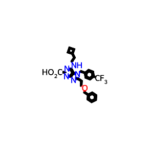 O=C(O)c1nc(NCCC2CCC2)c2c(n1)nc(CCOCc1ccccc1)n2Cc1ccc(C(F)(F)F)cc1